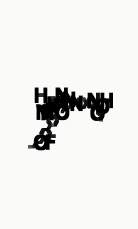 CCCOc1ccc(-c2ccc([C@@H](Oc3cc(N4CCC5(CC4)CN[C@H](C(=O)OCC)C5)nc(N)n3)C(F)(F)F)c(-n3ccc(C)n3)c2)cc1F